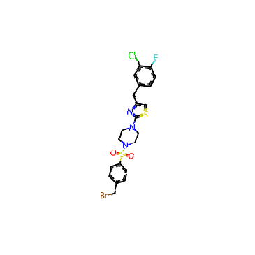 O=S(=O)(c1ccc(CBr)cc1)N1CCN(c2nc(Cc3ccc(F)c(Cl)c3)cs2)CC1